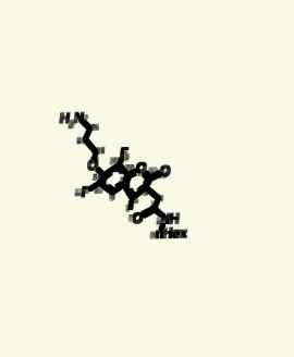 CCCCCCNC(=O)Cc1c(C)c2cc(F)c(OCCCN)c(F)c2oc1=O